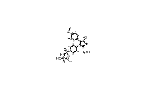 COc1ccc(-c2c(Cl)ncn2-c2ccc(S(=O)(=O)NP(=O)(O)OC)cc2)cc1F.[NaH]